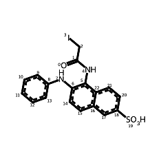 O=C(CI)Nc1c(Nc2ccccc2)ccc2cc(S(=O)(=O)O)ccc12